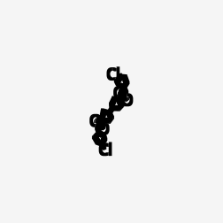 O=S(=O)(Cc1ccc(Cl)cc1)c1ccc(-c2ccc(S(=O)(=O)Cc3ccc(Cl)cc3)cc2)cc1